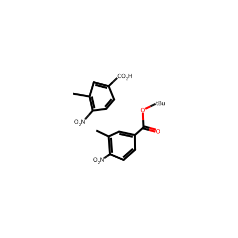 Cc1cc(C(=O)O)ccc1[N+](=O)[O-].Cc1cc(C(=O)OC(C)(C)C)ccc1[N+](=O)[O-]